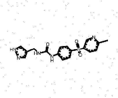 Cc1ccc(S(=O)(=O)c2ccc(NC(=O)NCc3cn[nH]c3)cc2)cn1